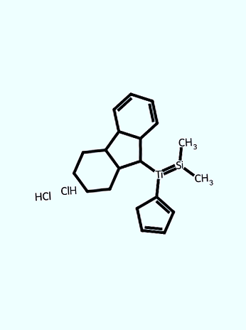 C[Si](C)=[Ti]([C]1=CC=CC1)[CH]1C2C=CC=CC2C2CCCCC21.Cl.Cl